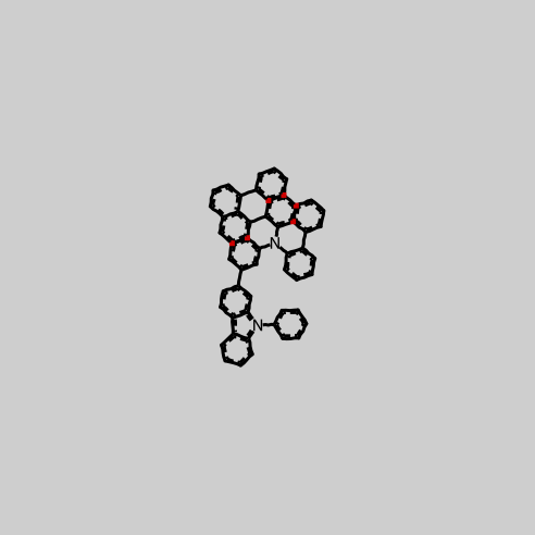 c1ccc(-c2ccccc2N(c2cccc(-c3ccc4c5ccccc5n(-c5ccccc5)c4c3)c2)c2ccccc2-c2cccc3cccc(-c4ccccc4)c23)cc1